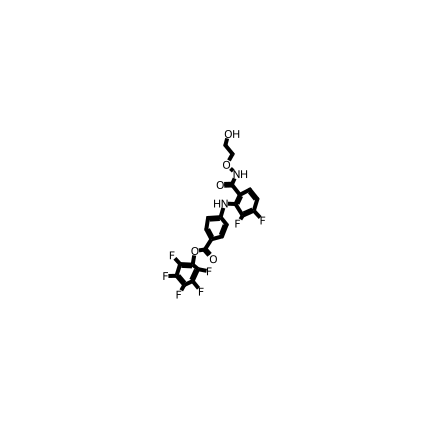 O=C(Oc1c(F)c(F)c(F)c(F)c1F)c1ccc(Nc2c(C(=O)NOCCO)ccc(F)c2F)cc1